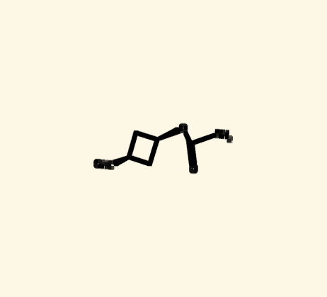 NC(=O)O[C@H]1C[C@@H](C=O)C1